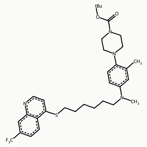 Cc1cc(N(C)CCCCCCSc2ccnc3cc(C(F)(F)F)ccc23)ccc1N1CCN(C(=O)OC(C)(C)C)CC1